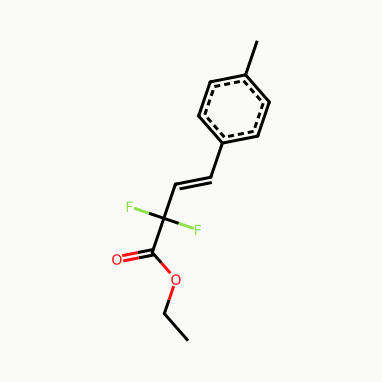 CCOC(=O)C(F)(F)/C=C/c1ccc(C)cc1